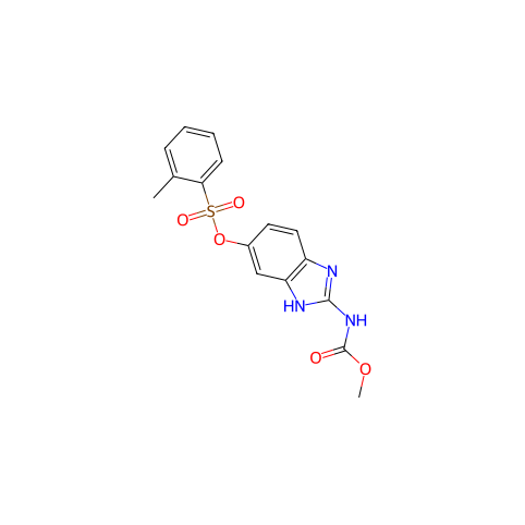 COC(=O)Nc1nc2ccc(OS(=O)(=O)c3ccccc3C)cc2[nH]1